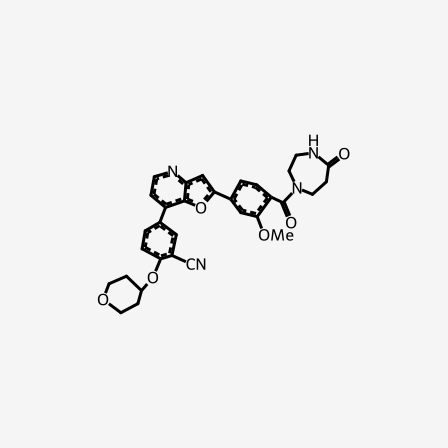 COc1cc(-c2cc3nccc(-c4ccc(OC5CCOCC5)c(C#N)c4)c3o2)ccc1C(=O)N1CCNC(=O)CC1